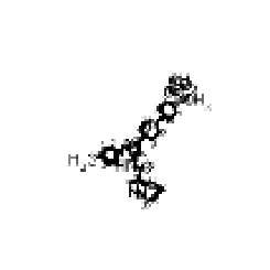 Cc1ccc(-n2nc(C3CCN(C4CCC(N(C)S(C)(=O)=O)CC4)CC3)cc2NC(=O)c2cnn3cccnc23)cc1